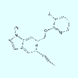 CC#Cc1cc2cnn(C(C)C)c2cc1COc1ncccc1I